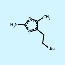 Cc1nc(N)sc1CCC(C)(C)C